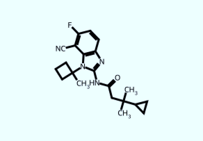 CC(C)(CC(=O)Nc1nc2ccc(F)c(C#N)c2n1C1(C)CCC1)C1CC1